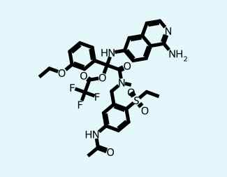 CCOc1cccc(C(Nc2ccc3c(N)nccc3c2)(OC(=O)C(F)(F)F)C(=O)N(C)Cc2cc(NC(C)=O)ccc2S(=O)(=O)CC)c1